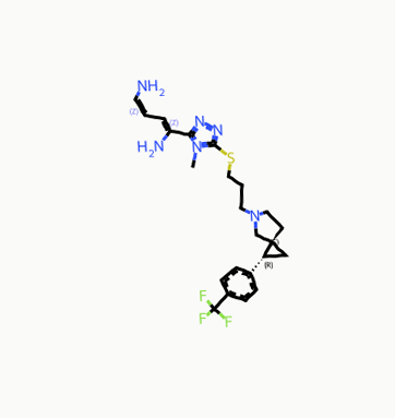 Cn1c(SCCCN2CC[C@]3(C[C@@H]3c3ccc(C(F)(F)F)cc3)C2)nnc1/C(N)=C/C=C\N